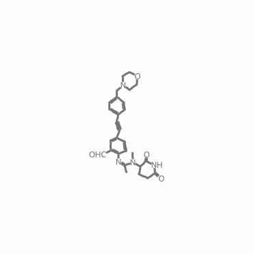 C/C(=N/c1ccc(C#Cc2ccc(CN3CCOCC3)cc2)cc1C=O)N(C)C1CCC(=O)NC1=O